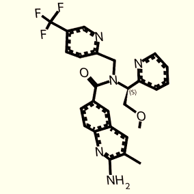 COC[C@H](c1ccccn1)N(Cc1ccc(C(F)(F)F)cn1)C(=O)c1ccc2nc(N)c(C)cc2c1